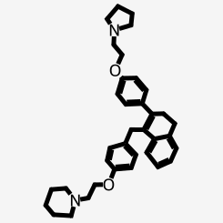 c1ccc2c(c1)CCC(c1ccc(OCCN3CCCC3)cc1)=C2Cc1ccc(OCCN2CCCCC2)cc1